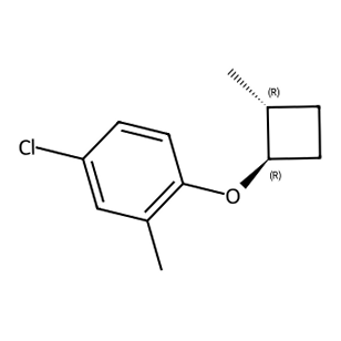 Cc1cc(Cl)ccc1O[C@@H]1CC[C@H]1C